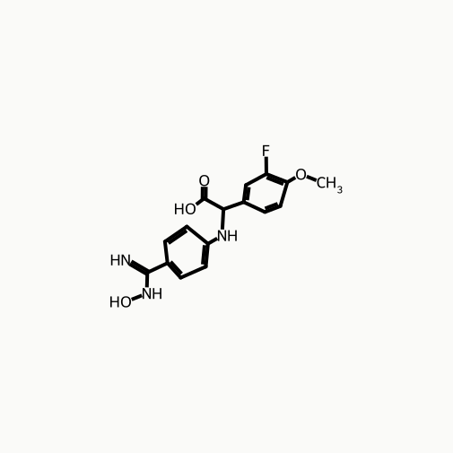 COc1ccc(C(Nc2ccc(C(=N)NO)cc2)C(=O)O)cc1F